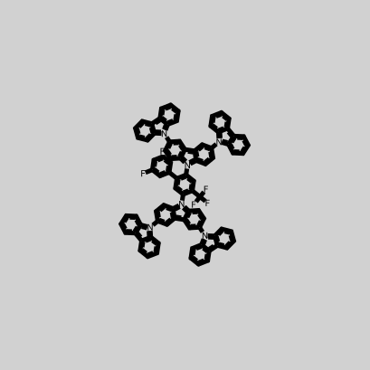 Fc1cc(F)cc(-c2cc(-n3c4ccc(-n5c6ccccc6c6ccccc65)cc4c4cc(-n5c6ccccc6c6ccccc65)ccc43)c(C(F)(F)F)cc2-n2c3ccc(-n4c5ccccc5c5ccccc54)cc3c3cc(-n4c5ccccc5c5ccccc54)ccc32)c1